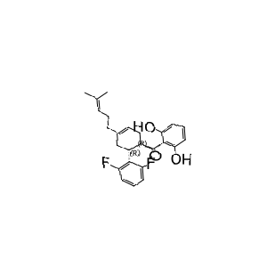 CC(C)=CCCC1=CC[C@@H](C(=O)c2c(O)cccc2O)[C@H](c2c(F)cccc2F)C1